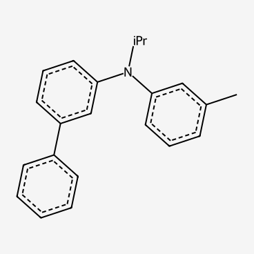 Cc1cccc(N(c2cccc(-c3ccccc3)c2)C(C)C)c1